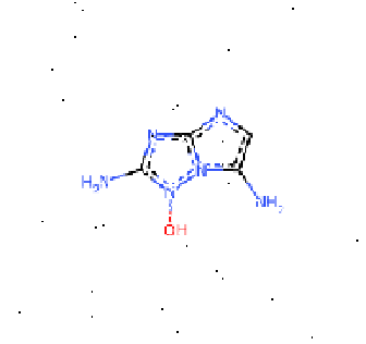 Nc1nc2ncc(N)n2n1O